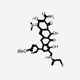 COc1ccc(-c2cc(CNC(C)CF)c(O)c3c2CC2CC4C(C(=O)C(C(N)=O)=C(O)[C@H]4N(C)C)C(O)=C2C3=O)cn1